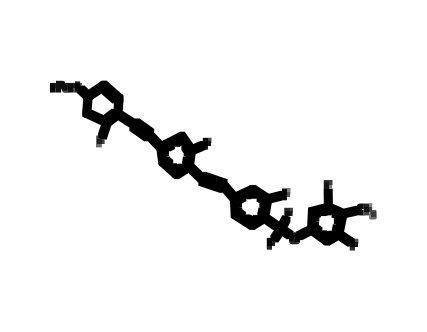 CCCCCC1C=CC(C#Cc2ccc(C#Cc3ccc(C(F)(F)Oc4cc(F)c(C(F)(F)F)c(F)c4)c(F)c3)c(F)c2)=C(F)C1